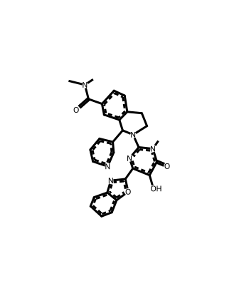 CN(C)C(=O)c1ccc2c(c1)C(c1cccnc1)N(c1nc(-c3nc4ccccc4o3)c(O)c(=O)n1C)CC2